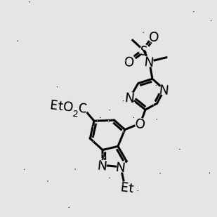 CCOC(=O)c1cc(Oc2cnc(N(C)S(C)(=O)=O)cn2)c2cn(CC)nc2c1